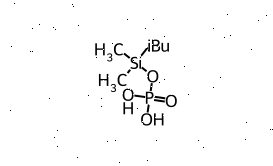 CCC(C)[Si](C)(C)OP(=O)(O)O